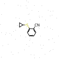 N#Cc1ccccc1SC1CC1